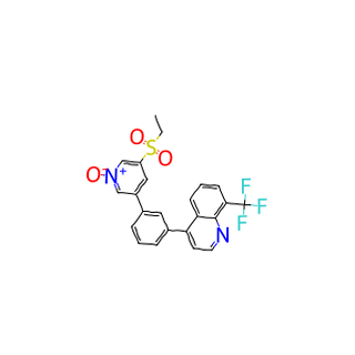 CCS(=O)(=O)c1cc(-c2cccc(-c3ccnc4c(C(F)(F)F)cccc34)c2)c[n+]([O-])c1